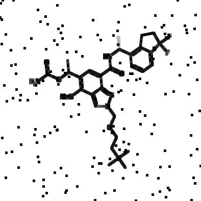 COc1c(C(C)OC(N)=O)cc(C(=O)N[C@H](C)c2cccc3c2CCC3(F)F)c2nn(COCC[Si](C)(C)C)cc12